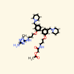 CC(=O)OCC(=O)NCCCOc1cccc(CN2CCCCC2)c1.Cn1nc(N)nc1NCCCOc1cccc(CN2CCCCC2)c1